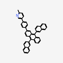 Cc1ccc(-c2ccc(-c3ccc4c(-c5ccc6ccccc6c5)c5ccccc5c(-c5ccc6ccccc6c5)c4c3)cc2)cn1